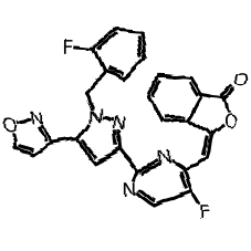 O=C1O/C(=C/c2nc(-c3cc(-c4ccon4)n(Cc4ccccc4F)n3)ncc2F)c2ccccc21